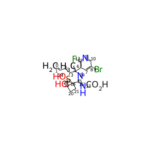 C=CC[C@H]1[C@@](C)(c2cc(Br)cnc2F)N=C(NC(=O)O)C2(CCC2)S1(O)O